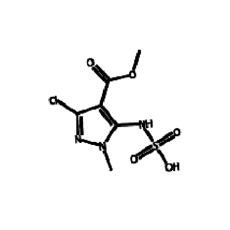 COC(=O)c1c(Cl)nn(C)c1NS(=O)(=O)O